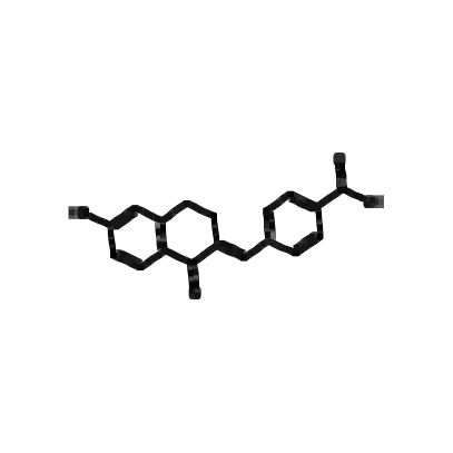 O=C(O)c1ccc(/C=C2\CCc3cc(O)ccc3C2=O)cc1